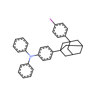 Ic1ccc(C23CC4CC(C2)CC(c2ccc(N(c5ccccc5)c5ccccc5)cc2)(C4)C3)cc1